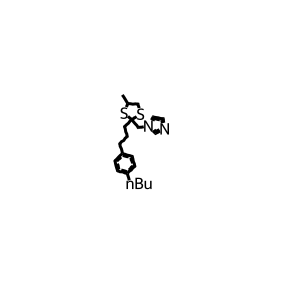 CCCCc1ccc(CCCC2(Cn3ccnc3)SCC(C)S2)cc1